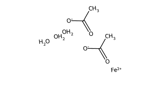 CC(=O)[O-].CC(=O)[O-].O.O.O.[Fe+2]